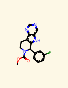 COC(=O)N1CCc2c([nH]c3cncnc23)C1c1cccc(F)c1